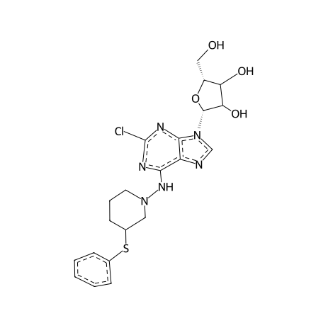 OC[C@H]1O[C@@H](n2cnc3c(NN4CCCC(Sc5ccccc5)C4)nc(Cl)nc32)C(O)C1O